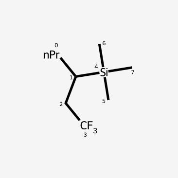 CCCC(CC(F)(F)F)[Si](C)(C)C